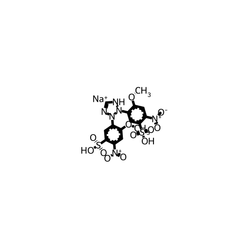 COc1cc([N+](=O)[O-])c(S(=O)(=O)O)cc1N1N=CNN1c1cc(S(=O)(=O)O)c([N+](=O)[O-])cc1OC.[Na+]